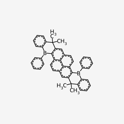 CC1(C)c2ccccc2B(c2ccccc2)c2c1cc1ccc3c4c(cc5ccc2c1c53)C(C)(C)c1ccccc1B4c1ccccc1